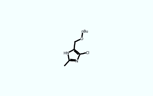 CCCCOCc1[nH]c(C)nc1Cl